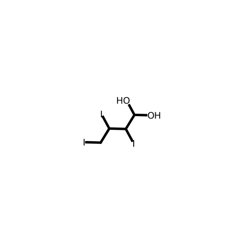 OC(O)C(I)C(I)CI